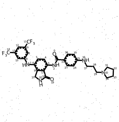 O=C(Nc1ccc(Nc2cc(C(F)(F)F)cc(C(F)(F)F)c2)c2c1C(=O)NC2)c1ccc(NCCCN2CCCC2)cc1